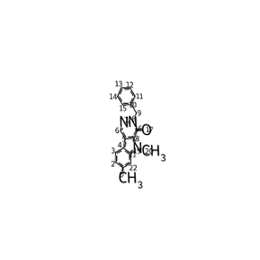 Cc1ccc2c3cnn(Cc4ccccc4)c(=O)c3n(C)c2c1